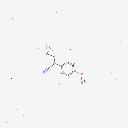 CCCC(C#N)c1ccc(OC)cc1